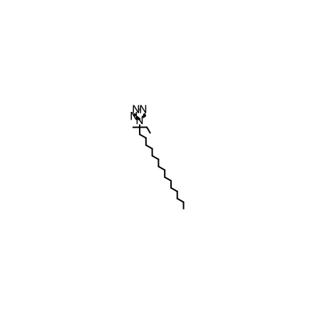 CCCCCCCCCCCCCCCC(C)(CC)n1cnnn1